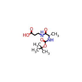 C[C@H](NC(=O)OC(C)(C)C)C(=O)NCCC(=O)O